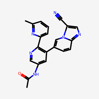 CC(=O)Nc1cnc(-c2cccc(C)n2)c(-c2ccc3ncc(C#N)n3c2)c1